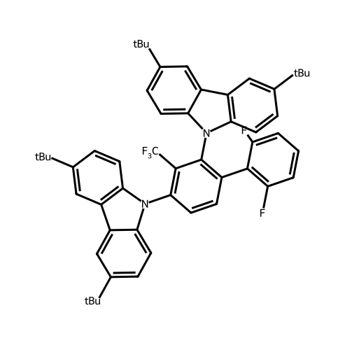 CC(C)(C)c1ccc2c(c1)c1cc(C(C)(C)C)ccc1n2-c1ccc(-c2c(F)cccc2F)c(-n2c3ccc(C(C)(C)C)cc3c3cc(C(C)(C)C)ccc32)c1C(F)(F)F